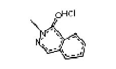 Cl.Cn1ncc2ccccc2c1=O